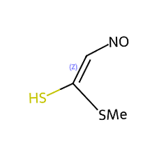 CS/C(S)=C\N=O